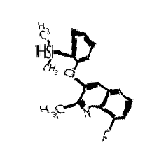 Cc1nc2c(F)cccc2cc1Oc1ccccc1[SiH](C)C